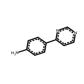 Nc1ccc(-c2ccncn2)cc1